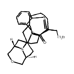 CCOC(=O)Cc1nc2ccccc2n(C2C[C@H]3COC[C@H](C2)N3C2CC3CCCCC(C3)C2)c1=O